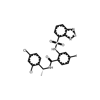 C[C@@H](NC(=O)c1ccc(I)cc1NS(=O)(=O)c1cccc2nsnc12)c1ccc(Cl)cc1Cl